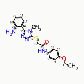 CCOc1ccc(NC(=O)CSc2nnc(-c3ccccc3N)n2C)cc1